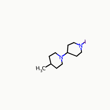 CC1CCN(C2CCN(I)CC2)CC1